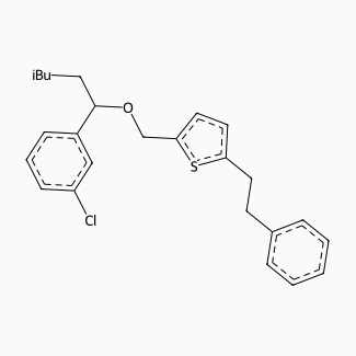 CCC(C)CC(OCc1ccc(CCc2ccccc2)s1)c1cccc(Cl)c1